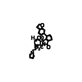 COC1(C2CCCN(CCn3cccc3)C2)c2c(cccc2-c2ccc3ccoc3c2)C(=O)N1C